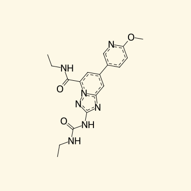 CCNC(=O)Nc1nc2cc(-c3ccc(OC)nc3)cc(C(=O)NCC)n2n1